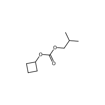 CC(C)COC(=O)OC1CCC1